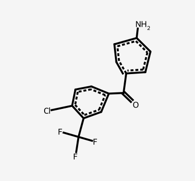 Nc1ccc(C(=O)c2ccc(Cl)c(C(F)(F)F)c2)cc1